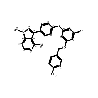 Cc1ccc(COc2cc(F)cc(Oc3ccc(-c4nn(C(C)C)c5ncnc(N)c45)cc3)c2)cn1